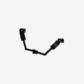 C#C[CH2][Ba][CH2]C#C